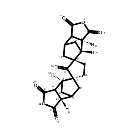 O=C1OC(=O)[C@@H]2C1C1C[C@H]2[C@@]2(CC[C@@]3(CC4C[C@H]3C3C(=O)OC(=O)[C@@H]43)C2=O)C1